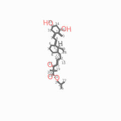 C=C1/C(=C\C=C2/CCC[C@]3(C)[C@@H]([C@H](C)/C=C/C(=O)C(C)(C)C(=O)OCC(C)C)CC[C@@H]23)C[C@@H](O)C[C@@H]1O